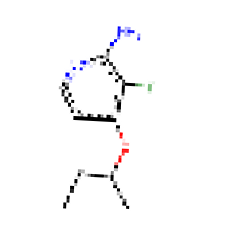 CCC(C)Oc1ccnc(N)c1F